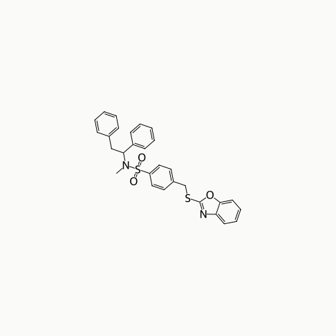 CN(C(Cc1ccccc1)c1ccccc1)S(=O)(=O)c1ccc(CSc2nc3ccccc3o2)cc1